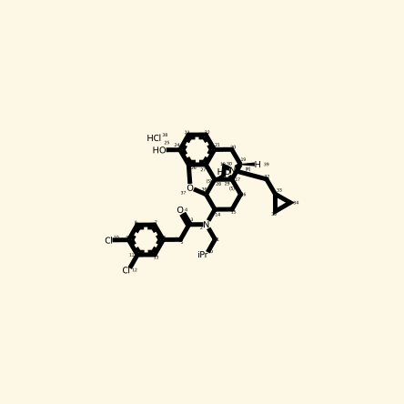 CC(C)CN(C(=O)Cc1ccc(Cl)c(Cl)c1)C1CC[C@@]2(O)[C@H]3Cc4ccc(O)c5c4[C@@]2(CCN3CC2CC2)C1O5.Cl